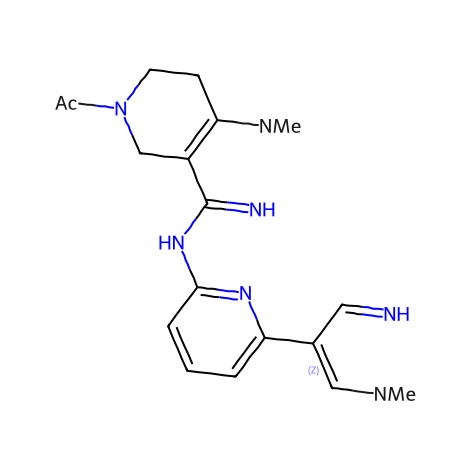 CN/C=C(\C=N)c1cccc(NC(=N)C2=C(NC)CCN(C(C)=O)C2)n1